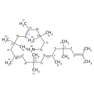 CC(C)=CCC(C)(C)C/C(C)=C/CC(C)(C)C/C=C(\C)CC(C)(C)C/C=C(\C)CC(C)(C)CCN